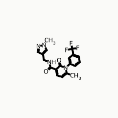 Cc1ccc(C(=O)NCc2cnn(C)c2)c(=O)n1-c1cccc(C(F)(F)F)c1